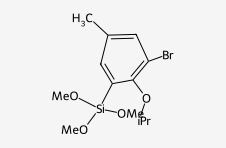 CO[Si](OC)(OC)c1cc(C)cc(Br)c1OC(C)C